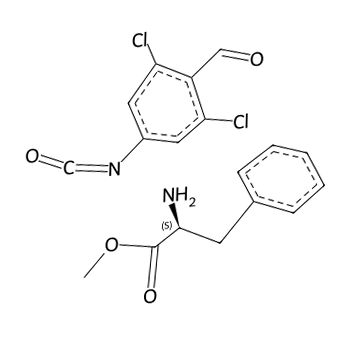 COC(=O)[C@@H](N)Cc1ccccc1.O=C=Nc1cc(Cl)c(C=O)c(Cl)c1